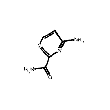 NC(=O)c1n[c]cc(N)n1